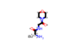 CC[C@H](C)[C@H](N)C(=O)NCC(=O)N1CCOCC1